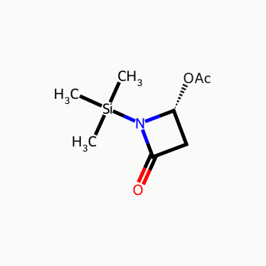 CC(=O)O[C@@H]1CC(=O)N1[Si](C)(C)C